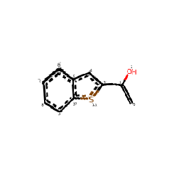 C=C(O)c1cc2ccccc2s1